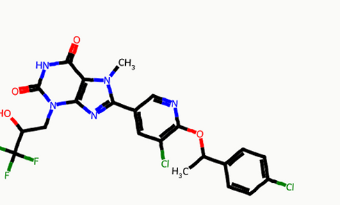 CC(Oc1ncc(-c2nc3c(c(=O)[nH]c(=O)n3CC(O)C(F)(F)F)n2C)cc1Cl)c1ccc(Cl)cc1